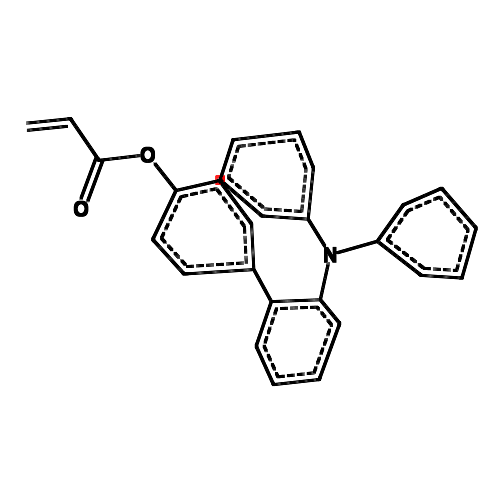 C=CC(=O)Oc1ccc(-c2ccccc2N(c2ccccc2)c2ccccc2)cc1